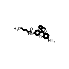 CCCCCC(=O)Nc1ccc2c(c1)Oc1cc(N)ccc1C21OCc2ccccc21